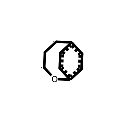 [CH]1C[CH]c2ccc(cc2)O1